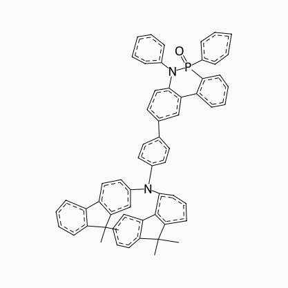 CC1(C)c2ccccc2-c2ccc(N(c3ccc(-c4ccc5c(c4)-c4ccccc4P(=O)(c4ccccc4)N5c4ccccc4)cc3)c3cccc4c3-c3ccccc3C4(C)C)cc21